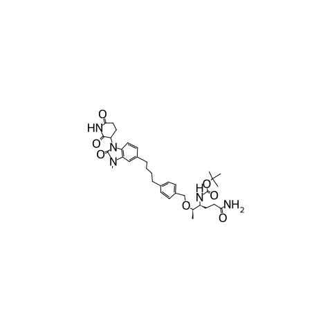 C[C@@H](OCc1ccc(CCCCc2ccc3c(c2)n(C)c(=O)n3C2CCC(=O)NC2=O)cc1)[C@H](CCC(N)=O)NC(=O)OC(C)(C)C